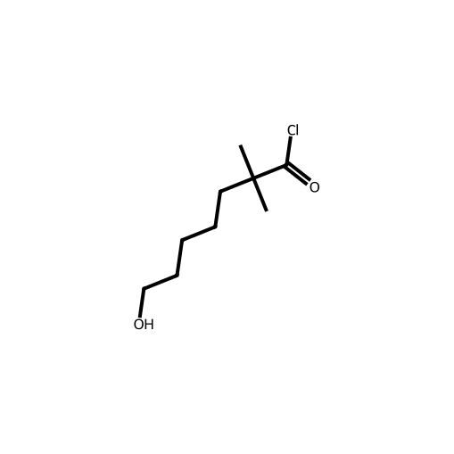 CC(C)(CCCCCO)C(=O)Cl